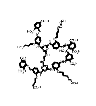 O=C(O)c1ccc(C(=O)O)c(N=Nc2ccc(Nc3nc(NCCNc4nc(Nc5ccc(N=Nc6cc(C(=O)O)ccc6C(=O)O)cc5OCCCSOOO)nc(Nc5ccc(N=Nc6cc(C(=O)O)ccc6C(=O)O)cc5OCCCS(=O)(=O)O)n4)nc(Nc4ccc(N=Nc5cc(C(=O)O)ccc5C(=O)O)cc4OCCCS(=O)(=O)O)n3)c(OCCCSOOO)c2)c1